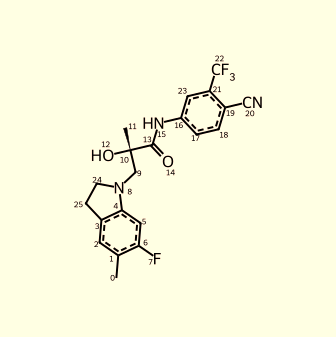 Cc1cc2c(cc1F)N(C[C@](C)(O)C(=O)Nc1ccc(C#N)c(C(F)(F)F)c1)CC2